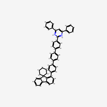 c1ccc(-c2cc(-c3ccccc3)nc(-c3ccc(-c4ccc(-c5ccc(-c6cccc7c6C6(CCCCC6)c6ccccc6-7)cc5)cc4)cc3)n2)cc1